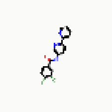 O=C(Nc1ccc(-c2ccccn2)nc1)c1ccc(F)c(Cl)c1